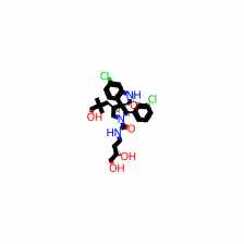 CC(C)(CO)C[C@@H]1CN(C(=O)NCC[C@H](O)CO)[C@H](c2cccc(Cl)c2F)[C@]12C(=O)Nc1cc(Cl)ccc12